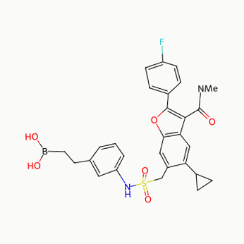 CNC(=O)c1c(-c2ccc(F)cc2)oc2cc(CS(=O)(=O)Nc3cccc(CCB(O)O)c3)c(C3CC3)cc12